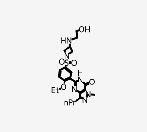 CCCc1nn(C)c2c(=O)[nH]c(-c3cc(S(=O)(=O)N4CC(NCCO)C4)ccc3OCC)nc12